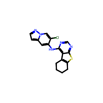 Clc1cn2nccc2cc1Nc1ncnc2sc3c(c12)CC[CH]C3